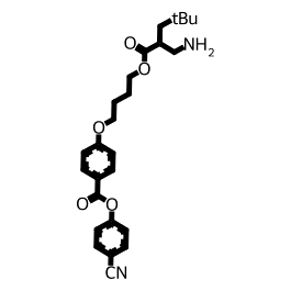 CC(C)(C)CC(CN)C(=O)OCCCCOc1ccc(C(=O)Oc2ccc(C#N)cc2)cc1